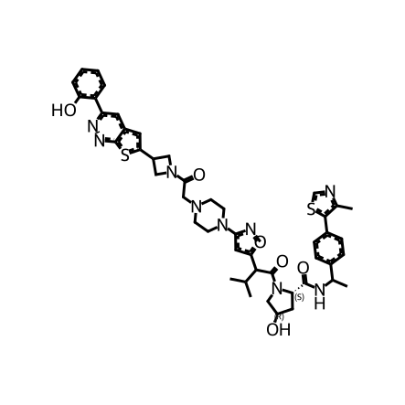 Cc1ncsc1-c1ccc(C(C)NC(=O)[C@@H]2C[C@@H](O)CN2C(=O)C(c2cc(N3CCN(CC(=O)N4CC(c5cc6cc(-c7ccccc7O)nnc6s5)C4)CC3)no2)C(C)C)cc1